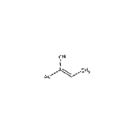 C/C=C(\C#N)C(C)=O